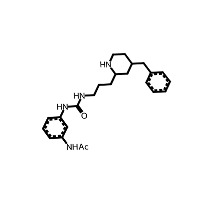 CC(=O)Nc1cccc(NC(=O)NCCCC2CC(Cc3ccccc3)CCN2)c1